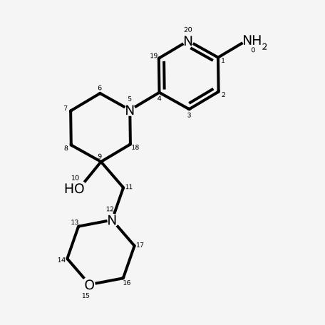 Nc1ccc(N2CCCC(O)(CN3CCOCC3)C2)cn1